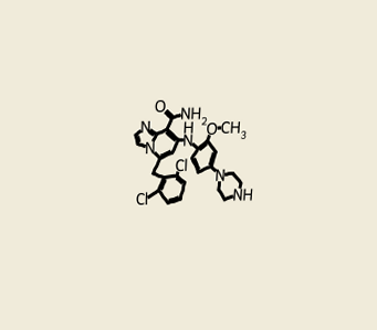 COc1cc(N2CCNCC2)ccc1Nc1cc(Cc2c(Cl)cccc2Cl)n2ccnc2c1C(N)=O